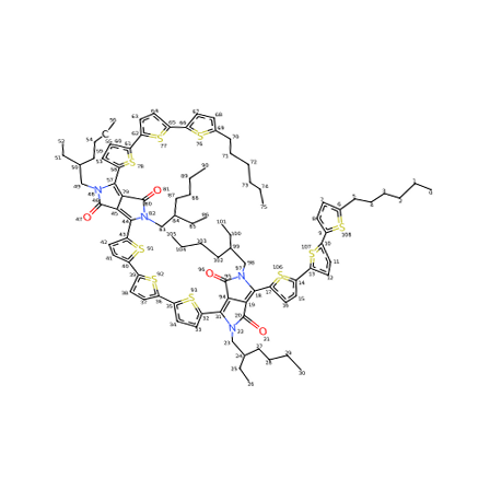 CCCCCCc1ccc(-c2ccc(-c3ccc(C4=C5C(=O)N(CC(CC)CCCC)C(c6ccc(-c7ccc(-c8ccc(C9=C%10C(=O)N(CC(CC)CCCC)C(c%11ccc(-c%12ccc(-c%13ccc(CCCCCC)s%13)s%12)s%11)=C%10C(=O)N9CC(CC)CCCC)s8)s7)s6)=C5C(=O)N4CC(CC)CCCC)s3)s2)s1